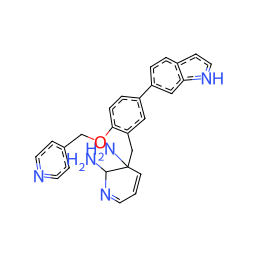 NC1N=CC=CC1(N)Cc1cc(-c2ccc3cc[nH]c3c2)ccc1OCc1ccncc1